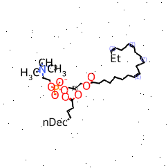 CC/C=C\C/C=C\C/C=C\C/C=C\CCCCCCC(=O)OC[C@H](COP(=O)([O-])OCC[N+](C)(C)C)OC(=O)CCCCCCCCCCCCC